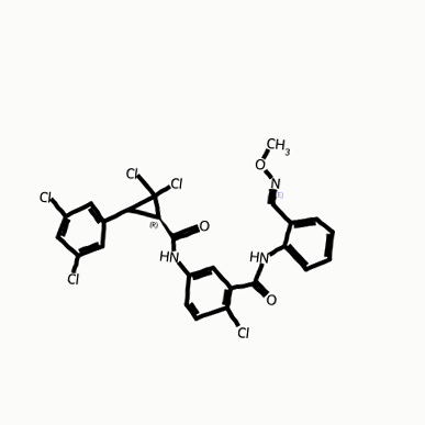 CO/N=C/c1ccccc1NC(=O)c1cc(NC(=O)[C@H]2C(c3cc(Cl)cc(Cl)c3)C2(Cl)Cl)ccc1Cl